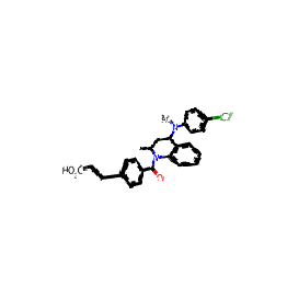 CC(=O)N(c1ccc(Cl)cc1)C1CC(C)N(C(=O)c2ccc(CCC(=O)O)cc2)c2ccccc21